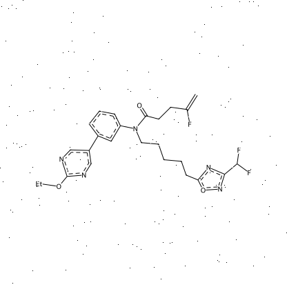 C=C(F)CCC(=O)N(CCCCCc1nc(C(F)F)no1)c1cccc(-c2cnc(OCC)nc2)c1